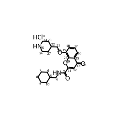 Cl.O=C(NCC1CCCCC1)c1cc(=O)c2cccc(OCC3CCNCC3)c2o1